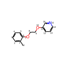 Cc1ccccc1OCCOc1cccnc1